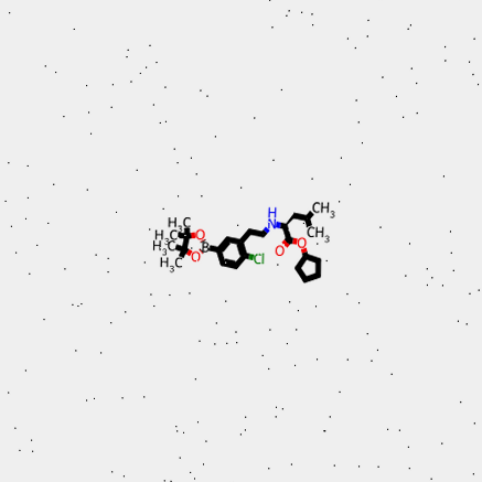 CC(C)C[C@H](NCCc1cc(B2OC(C)(C)C(C)(C)O2)ccc1Cl)C(=O)OC1CCCC1